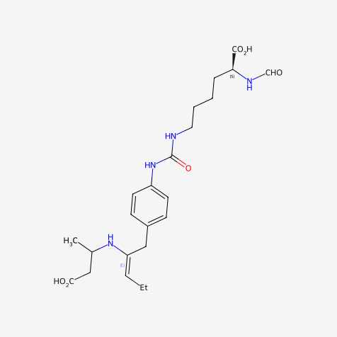 CC/C=C(\Cc1ccc(NC(=O)NCCCC[C@H](NC=O)C(=O)O)cc1)NC(C)CC(=O)O